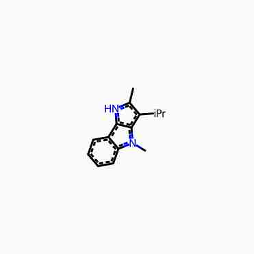 Cc1[nH]c2c3ccccc3n(C)c2c1C(C)C